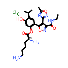 CCNC(=O)c1noc(-c2cc(C(C)C)c(O)cc2OC(=O)[C@@H](N)CCCCN)c1-c1noc(C)n1.Cl.Cl